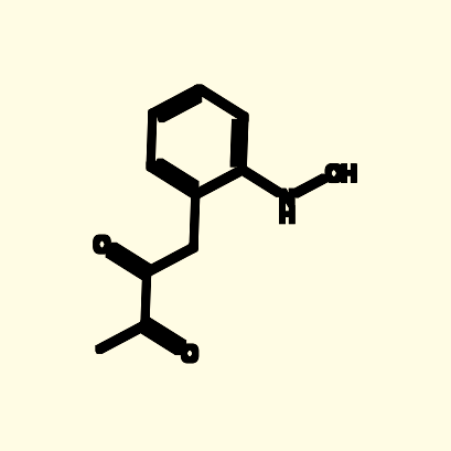 CC(=O)C(=O)Cc1ccccc1NO